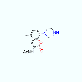 CC(=O)Nc1cc2c(C)ccc(N3CCNCC3)c2oc1=O